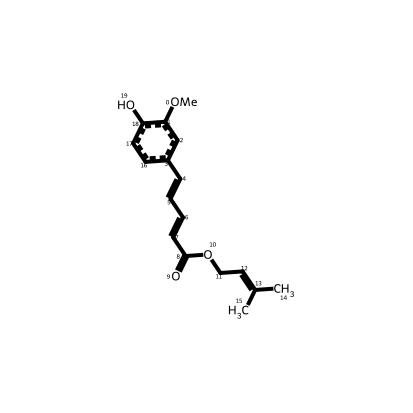 COc1cc(C=CC=CC(=O)OCC=C(C)C)ccc1O